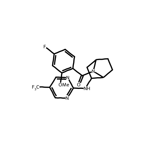 COc1cc(F)ccc1C(=O)N1C2CCC1C(Nc1ncc(C(F)(F)F)cn1)C2